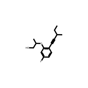 CCC(C)C#Cc1ccc(F)cc1OC(C)CO